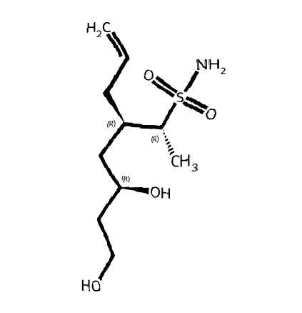 C=CC[C@H](C[C@@H](O)CCO)[C@@H](C)S(N)(=O)=O